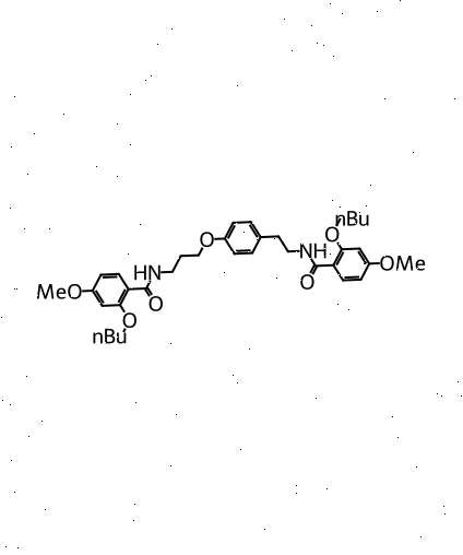 CCCCOc1cc(OC)ccc1C(=O)NCCCOc1ccc(CCNC(=O)c2ccc(OC)cc2OCCCC)cc1